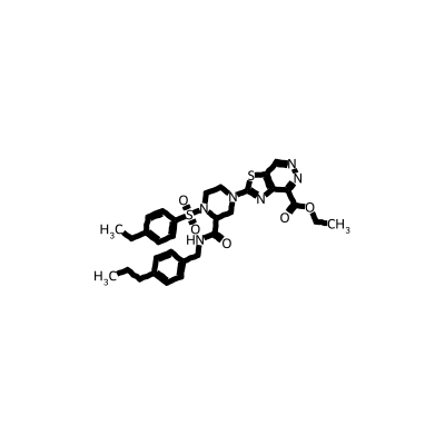 CCCc1ccc(CNC(=O)C2CN(c3nc4c(C(=O)OCC)nncc4s3)CCN2S(=O)(=O)c2ccc(CC)cc2)cc1